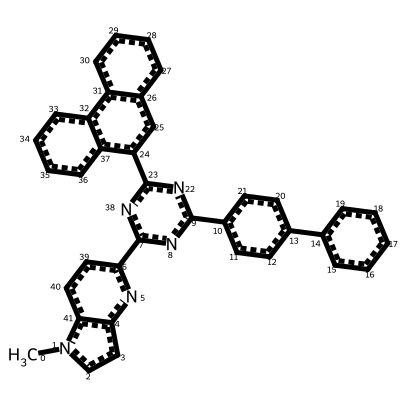 Cn1ccc2nc(-c3nc(-c4ccc(-c5ccccc5)cc4)nc(-c4cc5ccccc5c5ccccc45)n3)ccc21